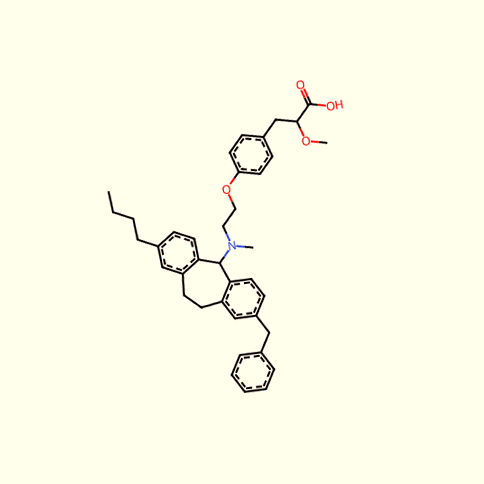 CCCCc1ccc2c(c1)CCc1cc(Cc3ccccc3)ccc1C2N(C)CCOc1ccc(CC(OC)C(=O)O)cc1